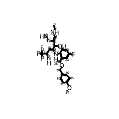 CCN/C=C(\N=N)C(O)/C(=C/C(=N)C(F)(F)F)Nc1ccc(F)cc1[C@@H](C)OCc1ccc(OC)cc1